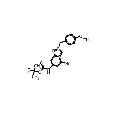 COc1ccc(Cn2cc3c(Br)cc(NC(=O)OC(C)(C)C)cc3n2)cc1